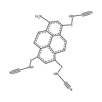 N#CNSc1cc(N)c2ccc3c(SNC#N)cc(SNC#N)c4ccc1c2c34